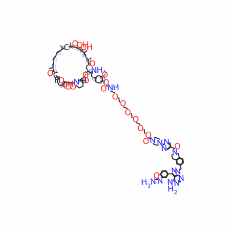 CO[C@H]1C[C@@H]2CC[C@@H](C)[C@@](O)(O2)C(=O)C(=O)N2CCCC[C@H]2C(=O)O[C@H]([C@H](N)C[C@@H]2CC[C@@H](OC(=O)NCCOCCOCCOCCOCCOCCOC(=O)N3CCN(c4ncc(C(=O)N5CCc6cc(Cn7nc(-c8ccc9oc(N)nc9c8)c8c(N)ncnc87)ccc6C5)cn4)CC3)[C@H](OC)C2)CC(=O)[C@H](C)/C=C(\C)[C@@H](O)[C@@H](O)C(=O)[C@H](C)C[C@H](C)/C=C/C=C/C=C/1C